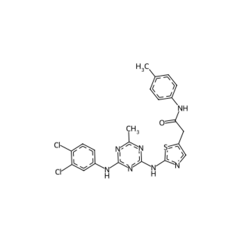 Cc1ccc(NC(=O)Cc2cnc(Nc3nc(C)nc(Nc4ccc(Cl)c(Cl)c4)n3)s2)cc1